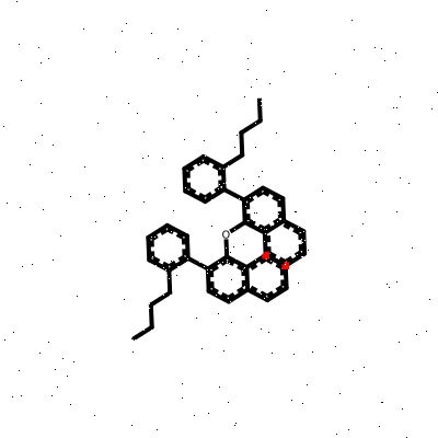 CCCCc1ccccc1-c1ccc2ccccc2c1Oc1c(-c2ccccc2CCCC)ccc2ccccc12